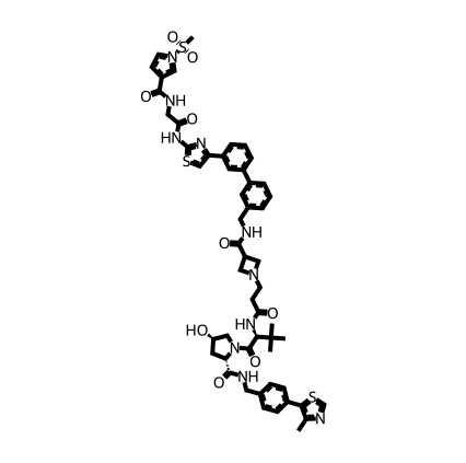 Cc1ncsc1-c1ccc(CNC(=O)[C@@H]2C[C@@H](O)CN2C(=O)[C@@H](NC(=O)CCN2CC(C(=O)NCc3cccc(-c4cccc(-c5csc(NC(=O)CNC(=O)c6ccn(S(C)(=O)=O)c6)n5)c4)c3)C2)C(C)(C)C)cc1